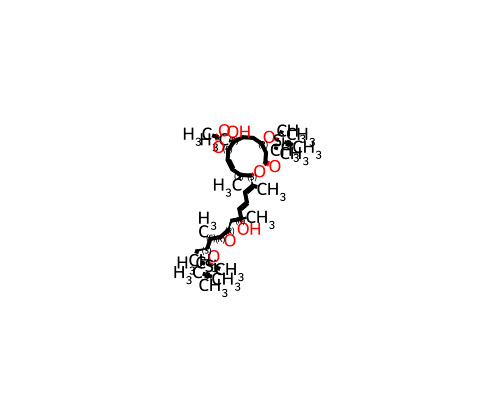 CC[C@H](O[Si](C)(C)C(C)(C)C)[C@@H](C)[C@H]1O[C@@H]1C[C@@](C)(O)C=CC=C(C)[C@H]1OC(=O)C[C@H](O[Si](C)(C)C(C)(C)C)CC[C@@](C)(O)[C@@H](OC(C)=O)C=C[C@@H]1C